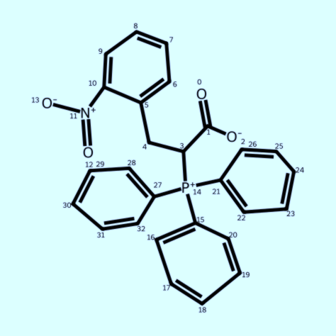 O=C([O-])C(Cc1ccccc1[N+](=O)[O-])[P+](c1ccccc1)(c1ccccc1)c1ccccc1